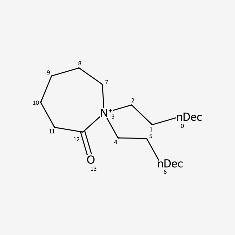 CCCCCCCCCCCC[N+]1(CCCCCCCCCCCC)CCCCCC1=O